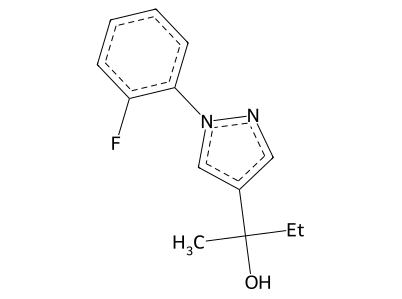 CCC(C)(O)c1cnn(-c2ccccc2F)c1